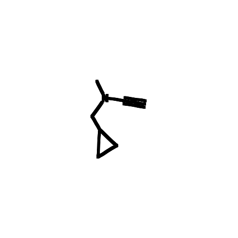 C#CN(C)CC1CC1